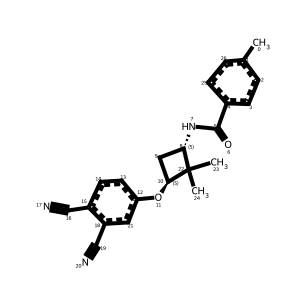 Cc1ccc(C(=O)N[C@H]2C[C@H](Oc3ccc(C#N)c(C#N)c3)C2(C)C)cc1